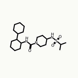 CC(C)S(=O)(=O)NC1CCN(C(=O)NC2CCCCC2C2CCCCC2)CC1